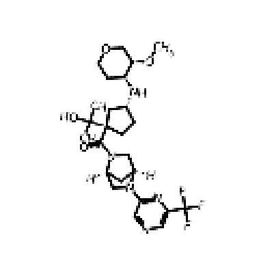 CO[C@@H]1COCC[C@@H]1N[C@@H]1CC[C@@](C(=O)N2C[C@@H]3C[C@H]2CN3c2cncc(C(F)(F)F)n2)(C(C)(C)O)C1